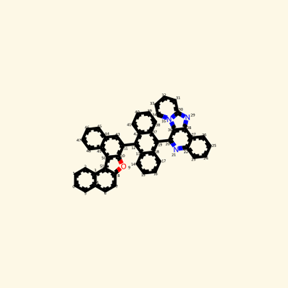 c1ccc2c(c1)ccc1oc3c(-c4c5ccccc5c(-c5nc6ccccc6c6nc7ccccn7c56)c5ccccc45)cc4ccccc4c3c12